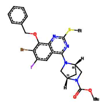 CCSc1nc(N2C[C@@H]3C[C@H]2CN3C(=O)OC(C)(C)C)c2cc(I)c(Br)c(OCc3ccccc3)c2n1